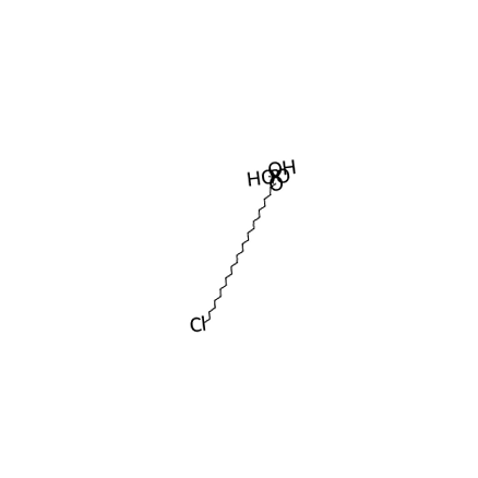 O=P(O)(O)OCCCCCCCCCCCCCCCCCCCCCCCCCl